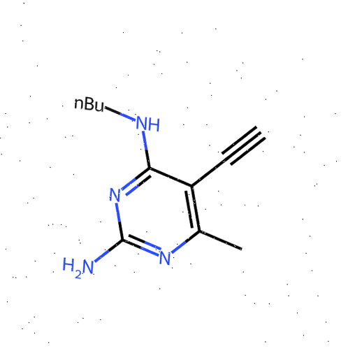 C#Cc1c(C)nc(N)nc1NCCCC